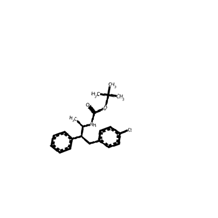 CC(NC(=O)OC(C)(C)C)C(Cc1ccc(Cl)cc1)c1ccccc1